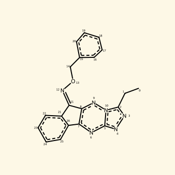 CCc1nnc2nc3c(nn12)C(=NOCc1ccccc1)c1ccccc1-3